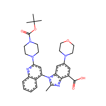 Cc1nc2c(C(=O)O)cc(N3CCOCC3)cc2n1-c1cc(N2CCN(C(=O)OC(C)(C)C)CC2)nc2ccccc12